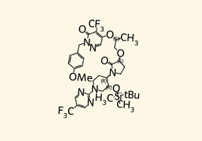 COc1ccc(Cn2ncc(O[C@@H](C)CO[C@H]3CCN([C@@H]4CCN(c5ncc(C(F)(F)F)cn5)C[C@H]4O[Si](C)(C)C(C)(C)C)C3=O)c(C(F)(F)F)c2=O)cc1